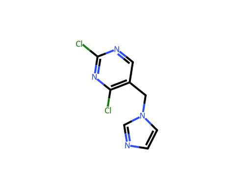 Clc1ncc(Cn2ccnc2)c(Cl)n1